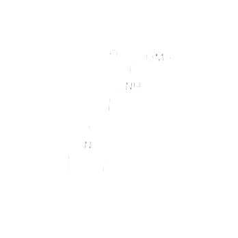 COC(=O)NCCCN1CCCCC1